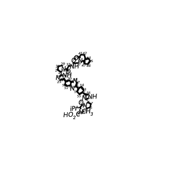 CC(C)[C@@H](C(=O)N1CCC[C@H]1c1nc(-c2ccc(-c3cnc4cc(-c5cnc([C@@H]6CCCN6C(=O)CNC(=O)CN6C(=O)CCc7ccccc76)[nH]5)ccc4n3)cc2)c[nH]1)N(C)C(=O)O